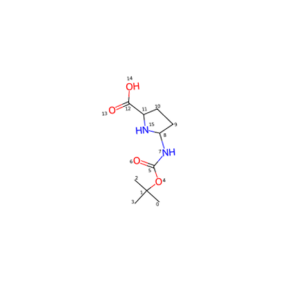 CC(C)(C)OC(=O)NC1CCC(C(=O)O)N1